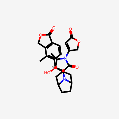 Cc1c([C@H](O)CN2C3CCC2CC2(CC(C)N(C4=CC(=O)OC4)C2=O)C3)ccc2c1COC2=O